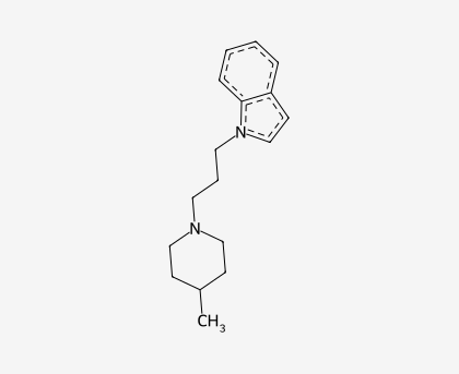 CC1CCN(CCCn2ccc3ccccc32)CC1